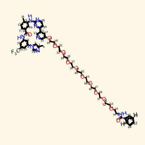 Cc1cn(-c2cc(NC(=O)c3ccc(C)c(Nc4nccc(-c5cncc(OCCOCCOCCOCCOCCOCCOCCOCCOCCOCCNC(=O)[C@H]6C[C@H]7C=C[C@@H]6C7)c5)n4)c3)cc(C(F)(F)F)c2)cn1